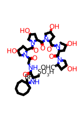 BC1(NC(CS(=O)(=O)O)C(=O)NCC(=O)N2CC(O)CC2C(=O)N2CC(O)CC2C(=O)N2CC(O)CC2C(=O)N2CC(O)CC2C(=O)N2CC(O)CC2C=O)CCCCCCC1